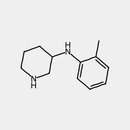 Cc1ccccc1NC1CCCNC1